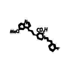 COc1ccc2nccc(CCC[C@@H]3CCN(CCCc4cccc(F)c4)C[C@@H]3C(=O)O)c2c1